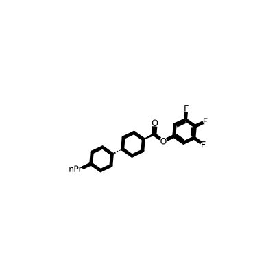 CCCC1CCC([C@H]2CC[C@H](C(=O)Oc3cc(F)c(F)c(F)c3)CC2)CC1